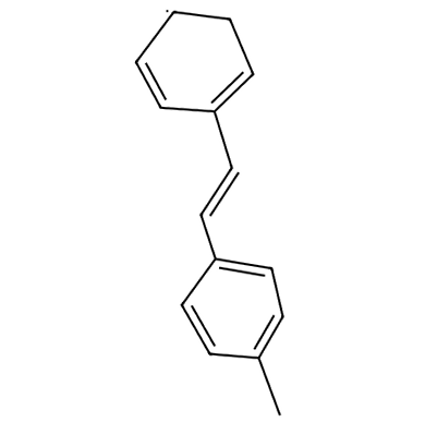 Cc1ccc(C=CC2=CC[CH]C=C2)cc1